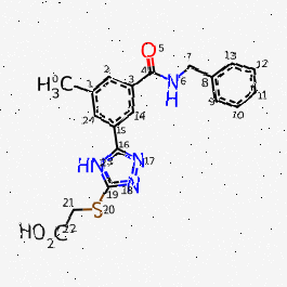 Cc1cc(C(=O)NCc2ccccc2)cc(-c2nnc(SCC(=O)O)[nH]2)c1